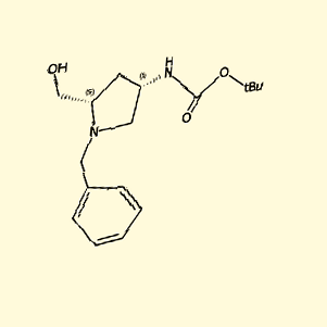 CC(C)(C)OC(=O)N[C@H]1C[C@@H](CO)N(Cc2ccccc2)C1